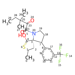 CCC[C@@]1(C(O)=S)C(c2cccc(C(F)(F)F)c2)CCN1C(=O)C(=O)C(C)(C)CC